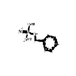 [Se]=P([SeH])([SeH])OCc1ccccc1